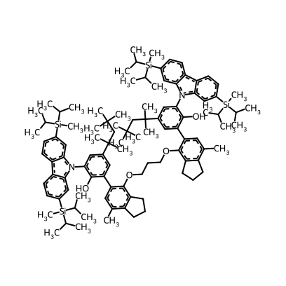 Cc1cc(-c2cc(C(C)(C)CC(C)(C)C)cc(-n3c4cc([Si](C)(C(C)C)C(C)C)ccc4c4ccc([Si](C)(C(C)C)C(C)C)cc43)c2O)c(OCCCOc2c(-c3cc(C(C)(C)CC(C)(C)C)cc(-n4c5cc([Si](C)(C(C)C)C(C)C)ccc5c5ccc([Si](C)(C(C)C)C(C)C)cc54)c3O)cc(C)c3c2CCC3)c2c1CCC2